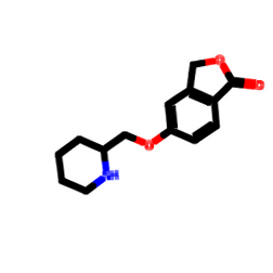 O=C1OCc2cc(OCC3CCCCN3)ccc21